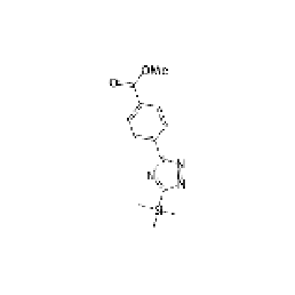 COC(=O)c1ccc(-n2nnc([Si](C)(C)C)n2)cc1